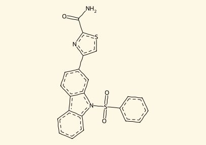 NC(=O)c1nc(-c2ccc3c4ccccc4n(S(=O)(=O)c4ccccc4)c3c2)cs1